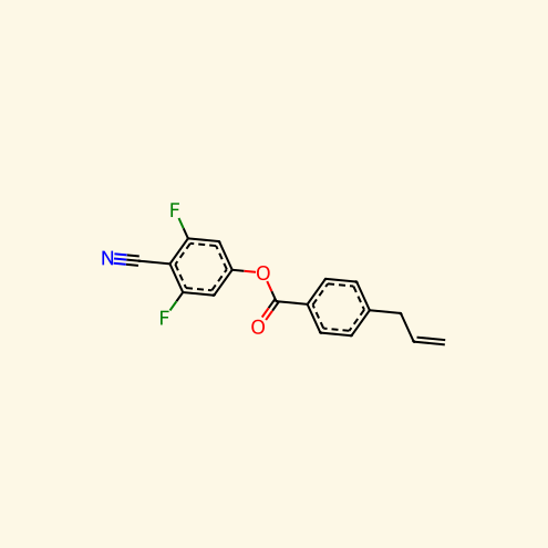 C=CCc1ccc(C(=O)Oc2cc(F)c(C#N)c(F)c2)cc1